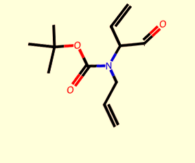 C=CCN(C(=O)OC(C)(C)C)C([C]=O)C=C